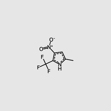 Cc1cc([N+](=O)[O-])c(C(F)(F)F)[nH]1